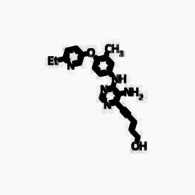 CCc1ccc(Oc2ccc(Nc3ncnc(C#C/C=C/CO)c3N)cc2C)cn1